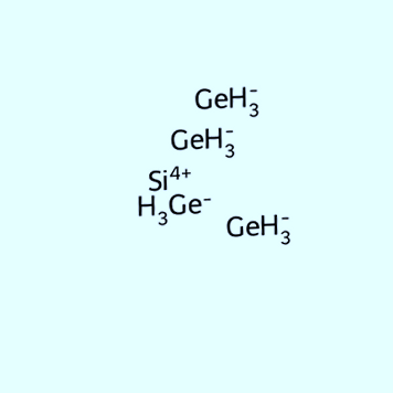 [GeH3-].[GeH3-].[GeH3-].[GeH3-].[Si+4]